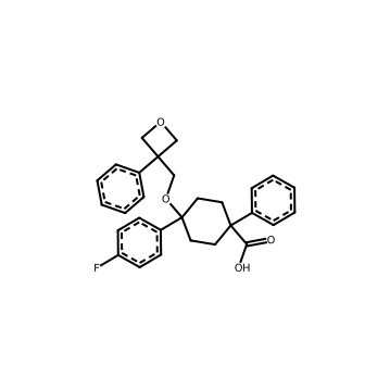 O=C(O)C1(c2ccccc2)CCC(OCC2(c3ccccc3)COC2)(c2ccc(F)cc2)CC1